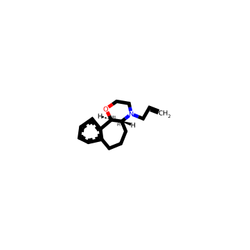 C=CCN1CCO[C@@H]2c3ccccc3CCC[C@H]21